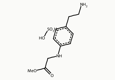 COC(=O)CNc1ccc(CCN)cc1.O=S(=O)(O)O